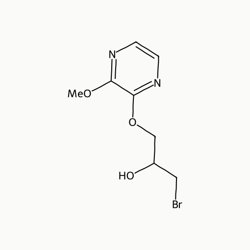 COc1nccnc1OCC(O)CBr